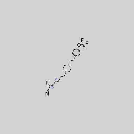 N#C/C(F)=C/C=C/CC[C@H]1CC[C@H](CCc2ccc(OC(F)(F)F)cc2)CC1